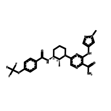 C[C@@H]1[C@H](NC(=O)c2ccc(SC(F)(F)F)cc2)CCCN1c1cnc(C(N)=O)c(Nc2cnn(C)c2)n1